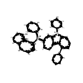 c1ccc(-c2cccc3c2c2ccc(N(c4ccccc4)c4cccc5ccccc45)cc2n3-c2ccccc2)cc1